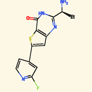 CC[C@H](N)c1nc2cc(-c3ccnc(F)c3)sc2c(=O)[nH]1